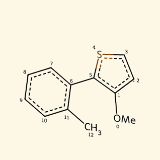 COc1[c]csc1-c1ccccc1C